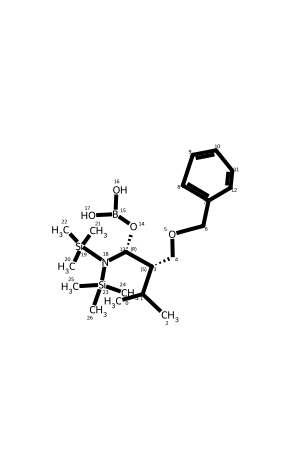 CC(C)[C@@H](COCc1ccccc1)[C@@H](OB(O)O)N([Si](C)(C)C)[Si](C)(C)C